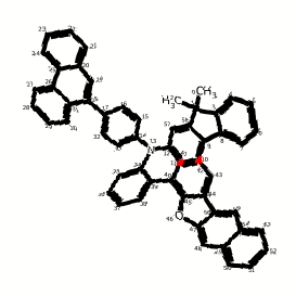 CC1(C)c2ccccc2-c2ccc(N(c3ccc(-c4cc5ccccc5c5ccccc45)cc3)c3ccccc3-c3cccc4c3oc3cc5ccccc5cc34)cc21